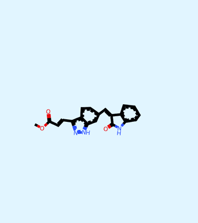 COC(=O)C=Cc1n[nH]c2cc(C=C3C(=O)Nc4ccccc43)ccc12